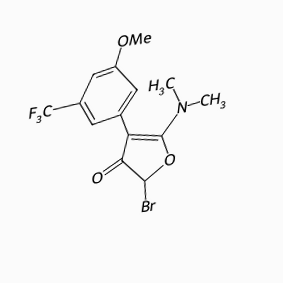 COc1cc(C2=C(N(C)C)OC(Br)C2=O)cc(C(F)(F)F)c1